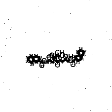 Cn1c(=O)n(CC(O)COC(=O)c2ccc3ccccc3c2)c(=O)n(CC(O)COC(=O)c2ccc3ccccc3c2)c1=O